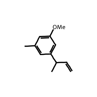 C=C[C](C)c1cc(C)cc(OC)c1